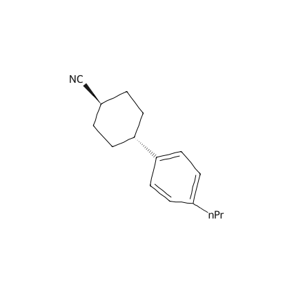 CCCc1ccc([C@H]2CC[C@H](C#N)CC2)cc1